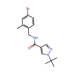 Cc1cc(Br)ccc1CNC(=O)c1cnn(C(C)(C)C)c1